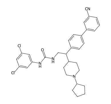 N#Cc1cccc(-c2ccc(C(CNC(=O)Nc3cc(Cl)cc(Cl)c3)C3CCN(C4CCCC4)CC3)cc2)c1